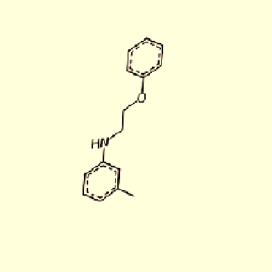 Cc1cccc(NCCOc2ccccc2)c1